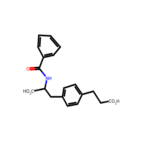 O=C(O)CCc1ccc(CC(NC(=O)c2ccccc2)C(=O)O)cc1